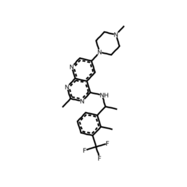 Cc1nc(NC(C)c2cccc(C(F)(F)F)c2C)c2cc(N3CCN(C)CC3)cnc2n1